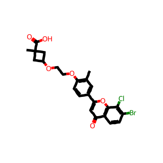 Cc1cc(-c2cc(=O)c3ccc(Br)c(Cl)c3o2)ccc1OCCOC1CC(C)(C(=O)O)C1